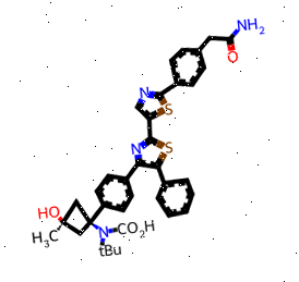 CC(C)(C)N(C(=O)O)[C@]1(c2ccc(-c3nc(-c4cnc(-c5ccc(CC(N)=O)cc5)s4)sc3-c3ccccc3)cc2)C[C@](C)(O)C1